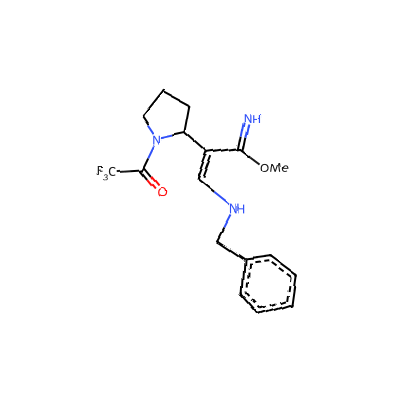 COC(=N)/C(=C\NCc1ccccc1)C1CCCN1C(=O)C(F)(F)F